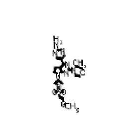 COCCS(=O)(=O)N1CC(N2CCc3c(-c4cnc(N)nc4)nc(N4CCOC[C@@H]4C)nc32)C1